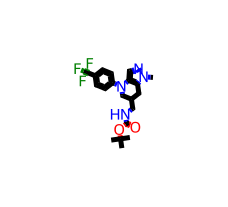 Cn1ncc2c1CC(CNC(=O)OC(C)(C)C)CN2c1ccc(C(F)(F)F)cc1